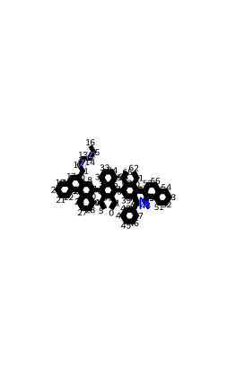 C=Cc1c(C=C)c(-c2cc3c(C/C=C\C=C/C)cc4ccccc4c3c3ccccc23)c2ccccc2c1-c1cc2c(-c3ccccc3)nc3c4ccccc4ccc3c2c(C=C)c1C=C